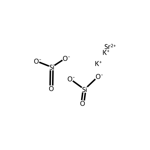 O=[Si]([O-])[O-].O=[Si]([O-])[O-].[K+].[K+].[Sr+2]